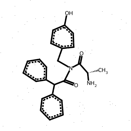 C[C@H](N)C(=O)N(Cc1ccc(O)cc1)C(=O)C(c1ccccc1)c1ccccc1